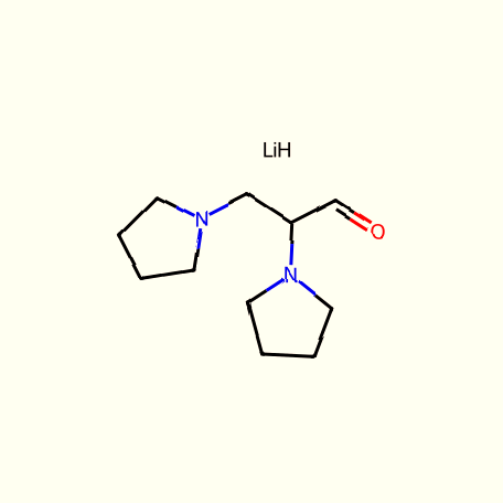 O=CC(CN1CCCC1)N1CCCC1.[LiH]